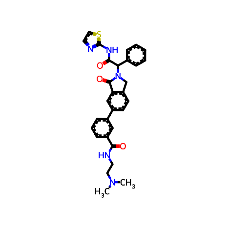 CN(C)CCNC(=O)c1cccc(-c2ccc3c(c2)C(=O)N(C(C(=O)Nc2nccs2)c2ccccc2)C3)c1